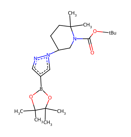 CC(C)(C)OC(=O)N1CC(n2cc(B3OC(C)(C)C(C)(C)O3)cn2)CCC1(C)C